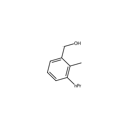 CCCc1cccc([CH]O)c1C